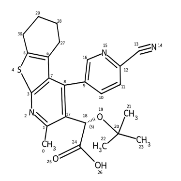 Cc1nc2sc3c(c2c(-c2ccc(C#N)nc2)c1[C@H](OC(C)(C)C)C(=O)O)CCCC3